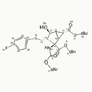 CC(C)(C)OC(=O)N[C@]1(C(=O)OC(C)(C)C)C2C([C@@H]2C(=O)OC(C)(C)C)[C@H](O)[C@H]1CSc1ccc(F)cc1